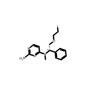 CN(c1ccnc(N)n1)[C@H](COCCI)c1ccccc1